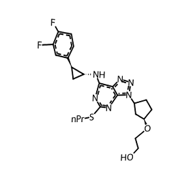 CCCSc1nc(N[C@@H]2C[C@H]2c2ccc(F)c(F)c2)c2nnn(C3CC[C@@H](OCCO)C3)c2n1